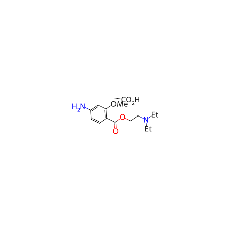 CC(=O)O.CCN(CC)CCOC(=O)c1ccc(N)cc1OC